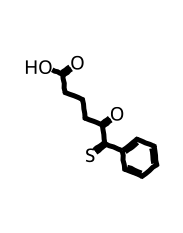 O=C(O)CCCC(=O)C(=S)c1ccccc1